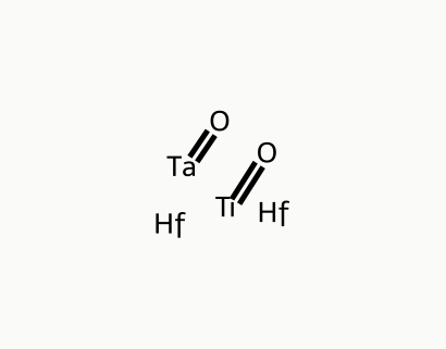 [Hf].[Hf].[O]=[Ta].[O]=[Ti]